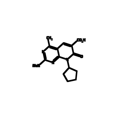 CNc1nc(C)c2cc(C(=O)O)c(=O)n(C3CCCC3)c2n1